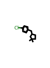 CC1(C)CCC(Cc2ccc(Cl)cc2)C1